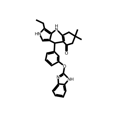 CCc1[nH]cc2c1NC1=C(C(=O)CC(C)(C)C1)C2c1cccc(Oc2nc3ccccc3[nH]2)c1